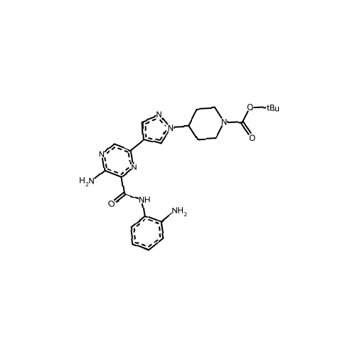 CC(C)(C)OC(=O)N1CCC(n2cc(-c3cnc(N)c(C(=O)Nc4ccccc4N)n3)cn2)CC1